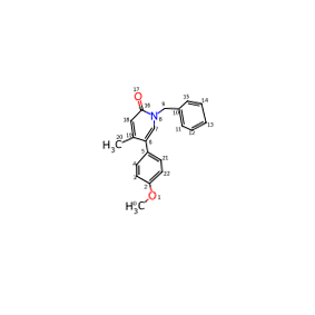 COc1ccc(-c2cn(Cc3ccccc3)c(=O)cc2C)cc1